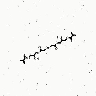 C=C(C)C(=O)OCC(O)COC(=O)CSSCC(=O)OCC(O)COC(=O)C(=C)C